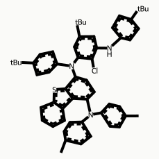 Cc1ccc(N(c2ccc(C)cc2)c2ccc(N(c3ccc(C(C)(C)C)cc3)c3cc(C(C)(C)C)cc(Nc4ccc(C(C)(C)C)cc4)c3Cl)c3sc4ccccc4c23)cc1